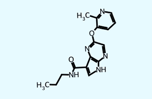 CCCNC(=O)c1c[nH]c2ncc(Oc3cccnc3C)nc12